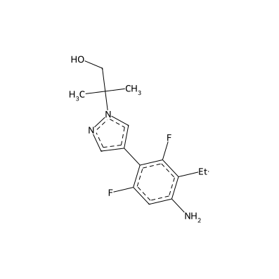 C[CH]c1c(N)cc(F)c(-c2cnn(C(C)(C)CO)c2)c1F